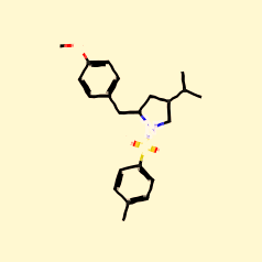 COc1ccc(CC2CC(C(C)C)CN2S(=O)(=O)c2ccc(C)cc2)cc1